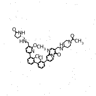 COc1nc(-c2cccc(-c3cccc(-c4ccn5c(=O)c(CNC6CCN(C(C)=O)CC6)cnc5c4)c3Cl)c2Cl)ccc1CNC[C@@H]1CCC(=O)N1